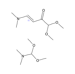 COC(OC)C(=O)/C=C/N(C)C.COC(OC)N(C)C